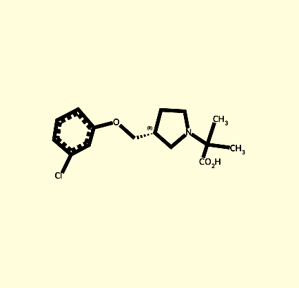 CC(C)(C(=O)O)N1CC[C@@H](COc2cccc(Cl)c2)C1